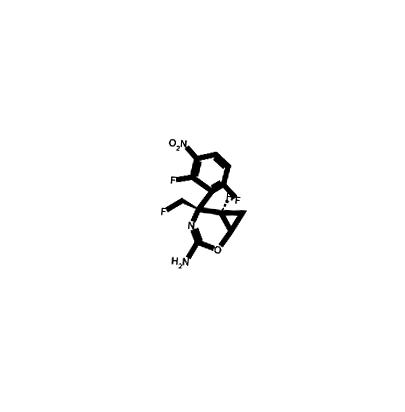 NC1=N[C@](CF)(c2c(F)ccc([N+](=O)[O-])c2F)[C@H]2CC2O1